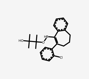 CC(C)(O)C(C)(C)OBC1=C(c2ccccc2Cl)CCCc2ccccc21